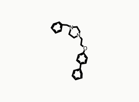 c1ccc(CN2CCN(CCOc3ccc(-c4ccccc4)cc3)CC2)cc1